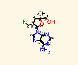 C[C@@]1(CO)C[C@H](CF)[C@H](n2cnc3c(N)ncnc32)O1